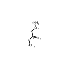 COC(=O)[CH]ON